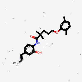 Cc1ccc(C)c(OCCCC(C)(C)C(=O)Nc2ccc(/C=C/C(=O)O)cc2O)c1